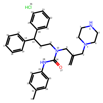 C=C(CN1CCNCC1)CN(CCC(c1ccccc1)c1ccccc1)C(=O)Nc1ccc(C)cc1.Cl